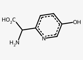 NC(C(=O)O)c1ccc(O)cn1